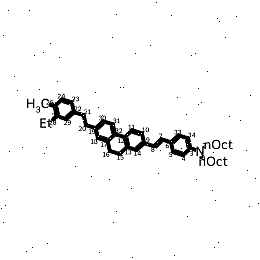 CCCCCCCCN(CCCCCCCC)c1ccc(/C=C/c2ccc3c(c2)CCc2cc(CCc4ccc(C)c(CC)c4)ccc2-3)cc1